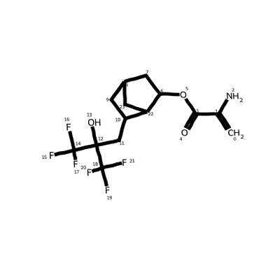 C=C(N)C(=O)OC1CC2CC(CC(O)(C(F)(F)F)C(F)(F)F)C1C2